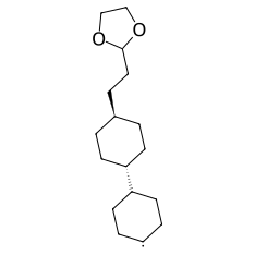 [CH]1CCC([C@H]2CC[C@H](CCC3OCCO3)CC2)CC1